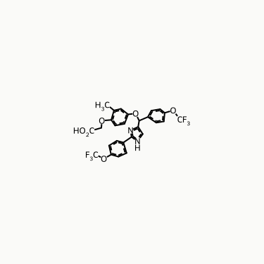 Cc1cc(OC(c2ccc(OC(F)(F)F)cc2)c2c[nH]c(-c3ccc(OC(F)(F)F)cc3)n2)ccc1OCC(=O)O